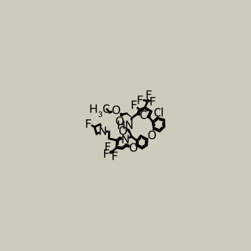 CCOC(=O)C[C@@H]1NC(=O)C(n2cc(CCN3CC(F)C3)c(C(F)(F)F)cc2=O)c2cccc(c2)Oc2cccc(Cl)c2-c2cc1c(F)c(C(F)(F)F)c2